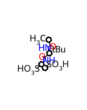 Cc1cccc(C(=O)Nc2cc(C(=O)Nc3ccc(S(=O)(=O)O)c4cccc(S(=O)(=O)O)c34)ccc2C(C)(C)C)c1